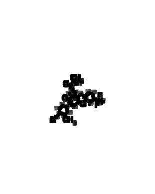 CNC(=O)N1CC2(C1)C(=O)N(c1ccc(C#N)c(C)c1)CC(=O)N2Cc1ccc(C(F)(F)F)cc1